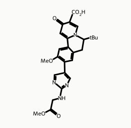 COC(=O)CNc1ncc(-c2cc3c(cc2OC)-c2cc(=O)c(C(=O)O)cn2C(C(C)(C)C)C3)cn1